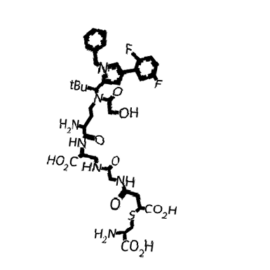 CC(C)(C)C(c1cc(-c2cc(F)ccc2F)cn1Cc1ccccc1)N(CCC(N)C(=O)NC(CNC(=O)CNC(=O)CC(SCC(N)C(=O)O)C(=O)O)C(=O)O)C(=O)CO